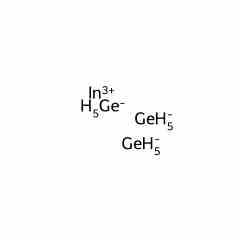 [GeH5-].[GeH5-].[GeH5-].[In+3]